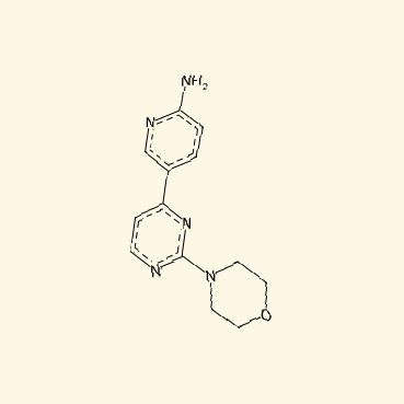 Nc1ccc(-c2ccnc(N3CCOCC3)n2)cn1